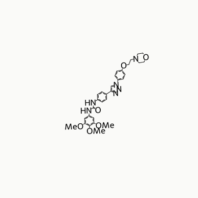 COc1cc(NC(=O)Nc2ccc(-c3cn(-c4ccc(OCCN5CCOCC5)cc4)nn3)cc2)cc(OC)c1OC